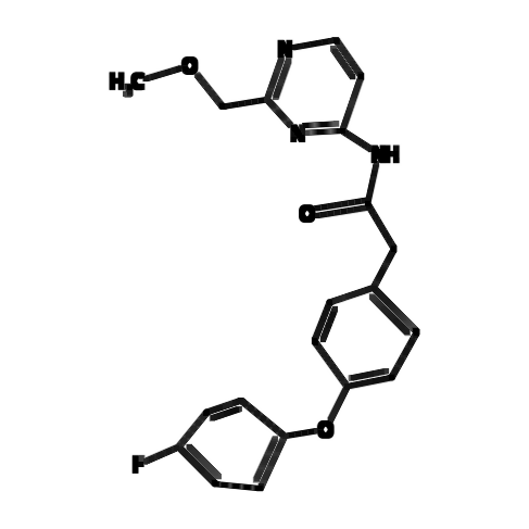 COCc1nccc(NC(=O)Cc2ccc(Oc3ccc(F)cc3)cc2)n1